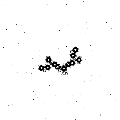 N#Cc1cc2c3cc4ccc(N(c5ccccc5)c5ccc6oc7ccccc7c6c5)cc4cc3oc2c2c1oc1cc3cc(N(c4ccccc4)c4ccc5oc6ccccc6c5c4)ccc3cc12